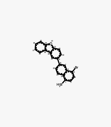 Bc1ccc(Br)c2cc(-c3ccc4oc5ccccc5c4c3)ccc12